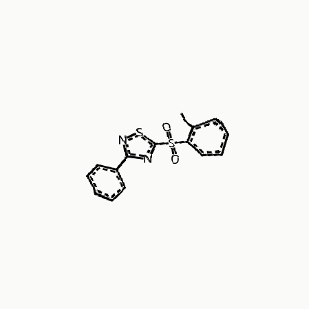 Cc1ccccc1S(=O)(=O)c1nc(-c2ccccc2)ns1